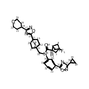 O=C([C@@H]1CC2(F)CC1C2)N(CC12CCC(c3nc(C4CCOCC4)no3)(CC1)CC2)c1cccc(-c2nc(C3CC3)no2)c1